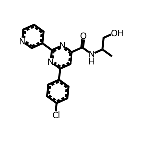 CC(CO)NC(=O)c1cc(-c2ccc(Cl)cc2)nc(-c2cccnc2)n1